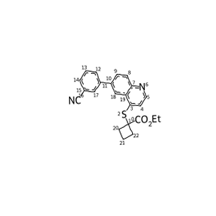 CCOC(=O)C1(Sc2ccnc3ccc(-c4cccc(C#N)c4)cc23)CCC1